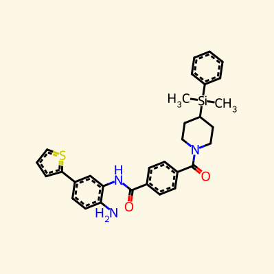 C[Si](C)(c1ccccc1)C1CCN(C(=O)c2ccc(C(=O)Nc3cc(-c4cccs4)ccc3N)cc2)CC1